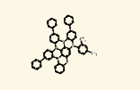 FC(F)(F)c1ccc(N2c3ccc(-c4ccccc4)cc3B3c4cc(-c5ccccc5)ccc4N4c5ccc(-c6ccccc6)cc5B5c6ccccc6Sc6cc2c3c4c65)c(C(F)(F)F)c1